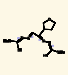 CN/C(S)=N/N=C/C(=N/N=C(\S)NC)C1CCOC1